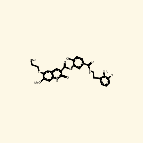 COCCOc1cc2cc(C(=O)Nc3cc(C(=O)NCCc4cccc(Cl)c4N)ccc3Cl)c(=O)[nH]c2cc1OC